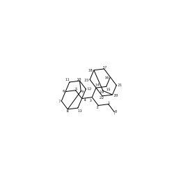 [CH2]CCC(C12CC3CC(CC(C3)C1)C2)C12CC3CC(CC(C3)C1)C2